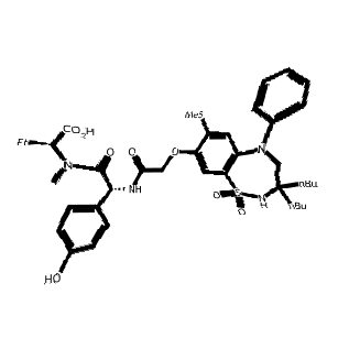 CCCCC1(CCCC)CN(c2ccccc2)c2cc(SC)c(OCC(=O)N[C@@H](C(=O)N(C)[C@@H](CC)C(=O)O)c3ccc(O)cc3)cc2S(=O)(=O)N1